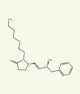 CCCCSCCN1C(=O)CC[C@@H]1/C=C/[C@@H](O)Cc1ccccc1